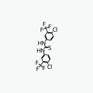 FC(F)(F)c1cc(NC(=S)Nc2ccc(Cl)c(C(F)(F)F)c2)ccc1Cl